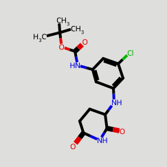 CC(C)(C)OC(=O)Nc1cc(Cl)cc(NC2CCC(=O)NC2=O)c1